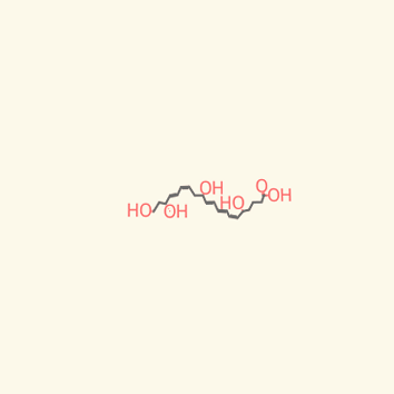 O=C(O)CCC[C@H](O)\C=C/C=C/C=C/[C@H](O)C/C=C\C=C\[C@H](O)CCO